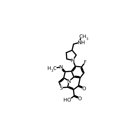 CN=c1c2c(N3CCC(CNC)C3)c(F)cc3c(=O)c(C(=O)O)c4scc1n4c32